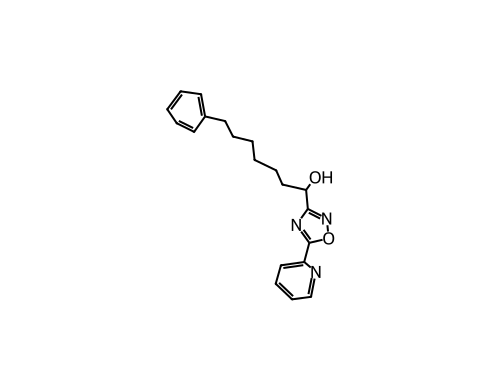 OC(CCCCCCc1ccccc1)c1noc(-c2ccccn2)n1